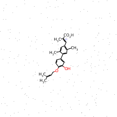 CC(C)=CCOc1ccc(-c2cc(C)c(/C=C(\C)C(=O)O)cc2C)cc1O